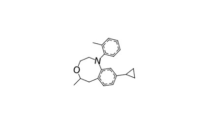 Cc1ccccc1N1CCOC(C)Cc2ccc(C3CC3)cc21